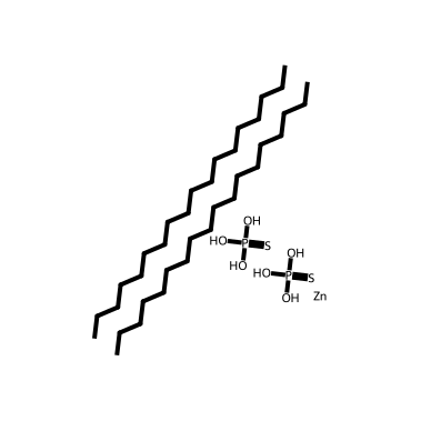 CCCCCCCCCCCCCCCCCC.CCCCCCCCCCCCCCCCCC.OP(O)(O)=S.OP(O)(O)=S.[Zn]